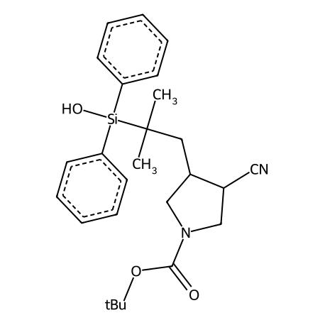 CC(C)(C)OC(=O)N1CC(C#N)C(CC(C)(C)[Si](O)(c2ccccc2)c2ccccc2)C1